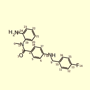 CN(C(=O)c1ccc(NCc2ccc(F)cc2)cc1)c1ccccc1N